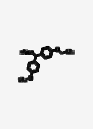 CCCCCCCCCC(c1ccc(OCC(C)(C)C)cc1)c1ccc(OC(C)(C)C)cc1